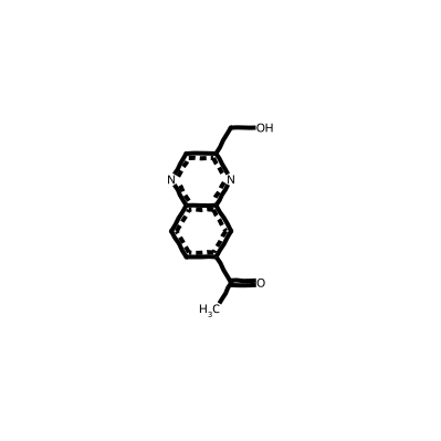 CC(=O)c1ccc2ncc(CO)nc2c1